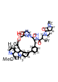 CCn1c(-c2cccnc2[C@H](C)OC)c2c3cc(ccc31)-c1cccc(c1)C[C@H](NC(=O)[C@@H](CN1CC[C@]3(CCN(C(C)=O)C3)C1=O)C(C)C)C(=O)N1CCC[C@@](O)(N1)C(=O)OCC(C)(C)C2